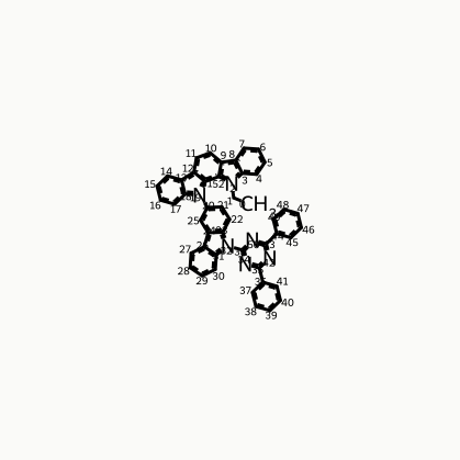 CCn1c2ccccc2c2ccc3c4ccccc4n(-c4ccc5c(c4)c4ccccc4n5-c4nc(-c5ccccc5)nc(-c5ccccc5)n4)c3c21